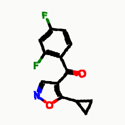 O=C(c1ccc(F)cc1F)c1cnoc1C1CC1